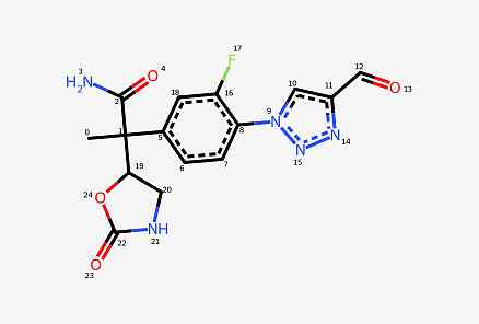 CC(C(N)=O)(c1ccc(-n2cc(C=O)nn2)c(F)c1)C1CNC(=O)O1